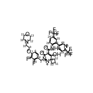 CN1N(Cc2ccc(OCCN3CCOCC3)c(F)c2F)C(=O)C(C(=O)Nc2ccc(C(F)(F)F)cc2-c2ccc(C(F)(F)F)nc2)=C(O)C12CCC2